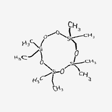 C[Si]1(C)OO[Si](C)(C)O[Si](C)(C)O[Si](C)(C)O1